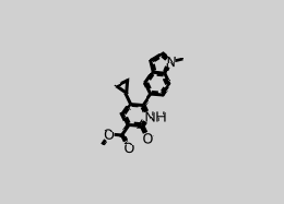 COC(=O)c1cc(C2CC2)c(-c2ccc3c(ccn3C)c2)[nH]c1=O